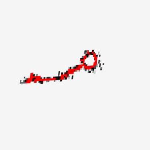 CO[C@H]1CC2CCCC(O2)C(=O)C(=O)N2CCCC[C@H]2C(=O)O[C@H](CC[C@H]2CC[C@H](OC(=O)N3CCc4nc(N5CCN(c6ncc(C(=O)NCCOCCOCCOCCOCCC(=O)N7CCc8cc(CNc9ncnc(N)c9C(=N)c9ccc%10oc(N)nc%10c9)ccc8C7)cn6)[C@@H](C(=O)O)C5)ncc4C3)CC2)CC[C@H](C)/C=C(\C)[C@@H](O)CC(=O)[C@H](C)C[C@H](C)/C=C/C=C/C=C/1C